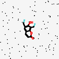 O=c1ccc2cc(CF)c(O)c(CF)c2o1